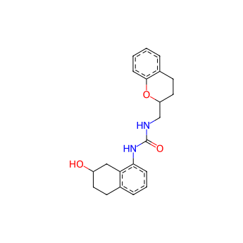 O=C(NCC1CCc2ccccc2O1)Nc1cccc2c1CC(O)CC2